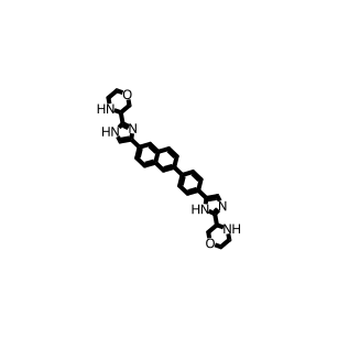 c1cc(-c2cnc(C3COCCN3)[nH]2)ccc1-c1ccc2cc(-c3c[nH]c(C4COCCN4)n3)ccc2c1